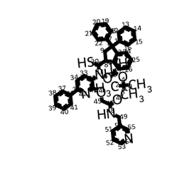 CC(C)(C)OC(=O)NC(CC(c1ccccc1)(c1ccccc1)c1ccccc1)C(S)Nc1ccc(-c2ccccc2)nc1OCC(=O)NCc1cccnc1